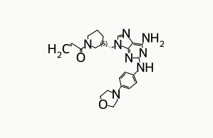 C=CC(=O)N1CCC[C@H](Cn2cnc3c(N)nc(Nc4ccc(N5CCOCC5)cc4)nc32)C1